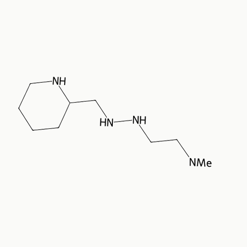 CNCCNNCC1CCCCN1